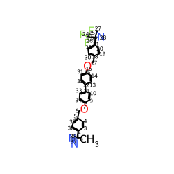 CC1(c2ccc(COc3ccc(-c4ccc(OCc5ccc(C6(C(F)(F)F)C=N6)cc5)cc4)cc3)cc2)N=N1